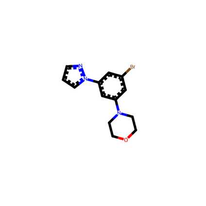 Brc1cc(N2CCOCC2)cc(-n2cccn2)c1